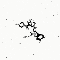 CC(=O)N1CCN(C(=O)c2nc(C(F)(F)F)n3c2CN(C(=O)CC(Cc2cc(F)c(F)cc2F)NC(=O)OC(C)(C)C)CC3)CC1